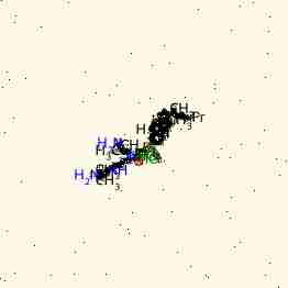 CC(C)CCCC(C)[C@H]1CC[C@H]2[C@@H]3CC=C4C[C@@H](SSCCC(=O)N(CCCCNCCC(C)(C)N)CCC(C)(C)N)CC[C@]4(C)[C@H]3CC[C@]12C.Cl.Cl.Cl